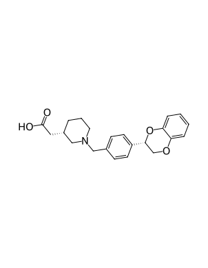 O=C(O)C[C@@H]1CCCN(Cc2ccc([C@H]3COc4ccccc4O3)cc2)C1